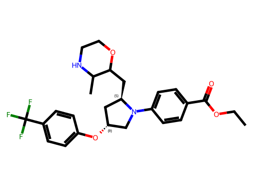 CCOC(=O)c1ccc(N2C[C@H](Oc3ccc(C(F)(F)F)cc3)C[C@H]2CC2OCCNC2C)cc1